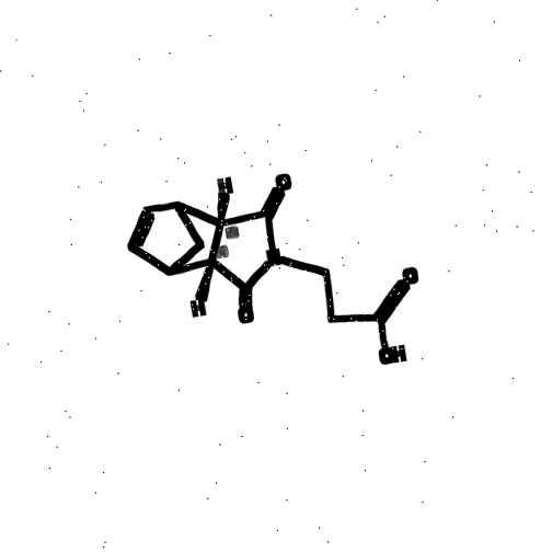 O=C(O)CCN1C(=O)[C@@H]2C3C=CC(C3)[C@@H]2C1=O